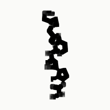 COCC1CCN1Cc1cn2c(Nc3cc([C@@H]4CC[C@H](OC(=O)NC(C)C)[C@H]4F)[nH]n3)nccc2n1